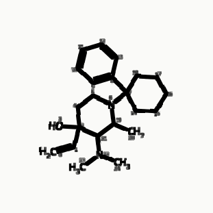 C=CC1(O)CCN(C2(c3ccccc3)CCCCC2)C(C)C1N(C)C